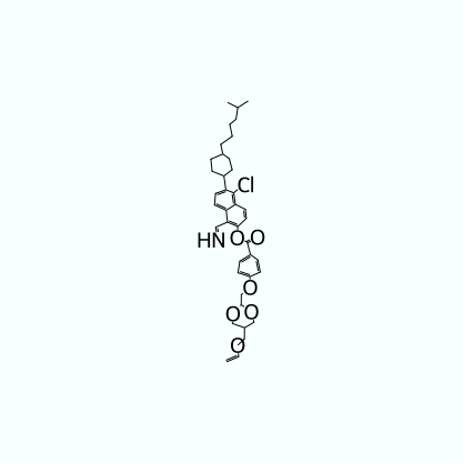 C=COCC1COC(COc2ccc(C(=O)Oc3ccc4c(Cl)c(C5CCC(CCCCC(C)C)CC5)ccc4c3C=N)cc2)OC1